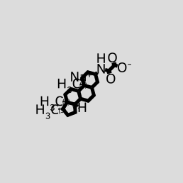 C[C@H]1CC[C@H]2C3CCC4CC(NC(=O)C(=O)[O-])CC[C@]4(C)C3CC[C@]12C.[Na+]